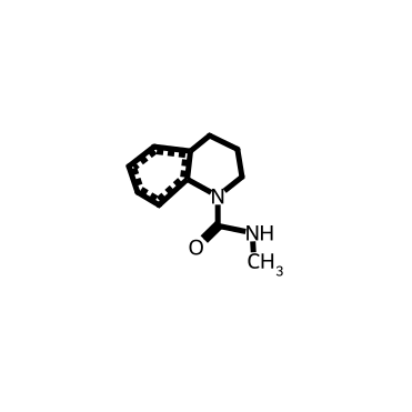 CNC(=O)N1CCCc2ccccc21